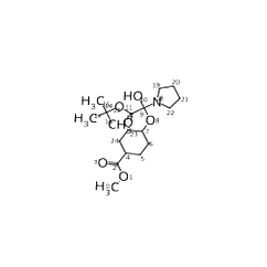 COC(=O)C1CCC(OC(O)(C(=O)OC(C)(C)C)N2CCCC2)CC1